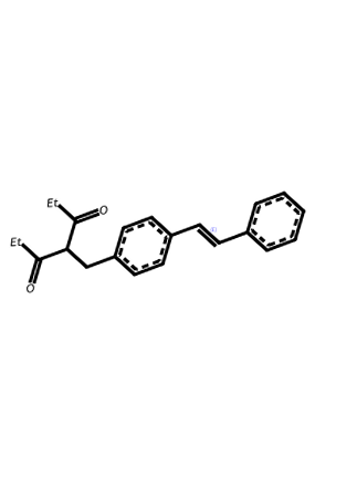 CCC(=O)C(Cc1ccc(/C=C/c2ccccc2)cc1)C(=O)CC